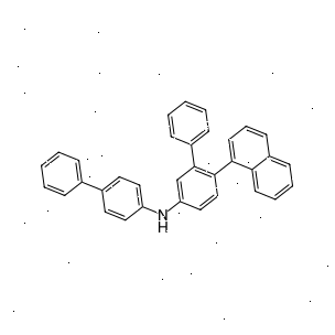 c1ccc(-c2ccc(Nc3ccc(-c4cccc5ccccc45)c(-c4ccccc4)c3)cc2)cc1